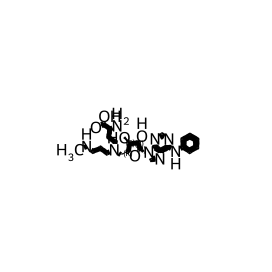 CNCCCN(CCC(N)C(=O)O)C[C@H]1O[C@@H](n2cnc3c(Nc4ccccc4)ncnc32)[C@H](O)[C@@H]1O